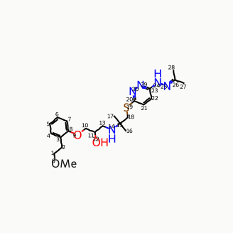 COCCc1ccccc1OCC(O)CNC(C)(C)CSc1ccc(NN=C(C)C)nn1